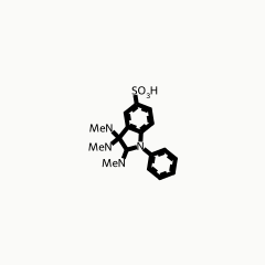 CNC1N(c2ccccc2)c2ccc(S(=O)(=O)O)cc2C1(NC)NC